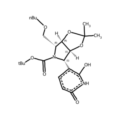 CCCCOC[C@@H]1[C@H]2OC(C)(C)O[C@H]2[C@H](c2ccc(=O)[nH]c2O)N1C(=O)OC(C)(C)C